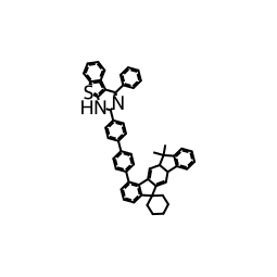 CC1(C)c2ccccc2C2C=C3C(=CC21)c1c(-c2ccc(-c4ccc(C5N=C(c6ccccc6)c6c(sc7ccccc67)N5)cc4)cc2)cccc1C31CCCCC1